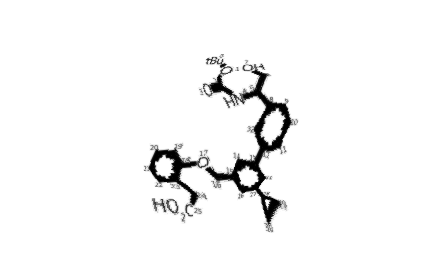 CC(C)(C)OC(=O)NC(CO)c1cccc(-c2cc(COc3ccccc3CC(=O)O)cc(C3CC3)c2)c1